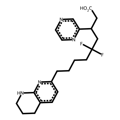 O=C(O)CC(CC(F)(F)CCCCc1ccc2c(n1)NCCC2)c1cnccn1